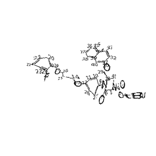 CC(C)(C)OC(=O)N1CC(=O)N(c2ccc(OCCCOCc3ccccc3F)cc2)[C@@H](COc2ccc3ccccc3c2)C1